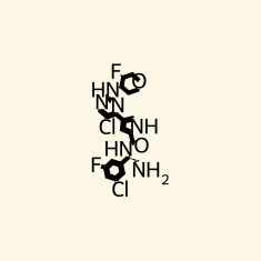 NC[C@@H](NC(=O)c1cc(-c2nc(N[C@H]3CCOC[C@H]3F)ncc2Cl)c[nH]1)c1cc(F)cc(Cl)c1